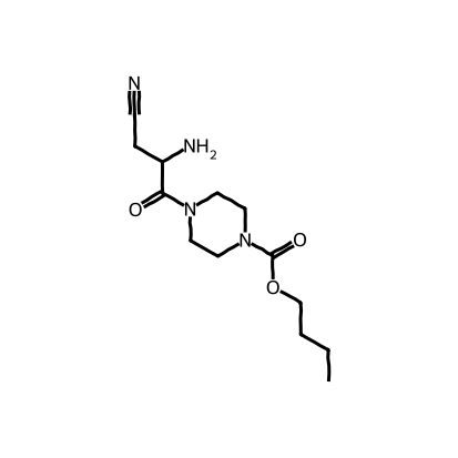 CCCCOC(=O)N1CCN(C(=O)C(N)CC#N)CC1